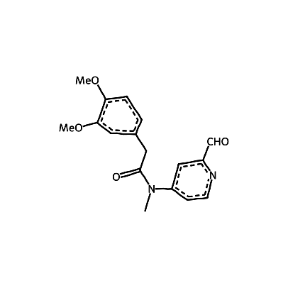 COc1ccc(CC(=O)N(C)c2ccnc(C=O)c2)cc1OC